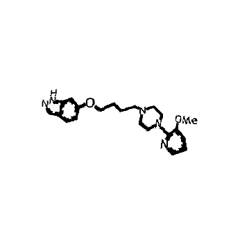 COc1cccnc1N1CCN(CCCCOc2ccc3cn[nH]c3c2)CC1